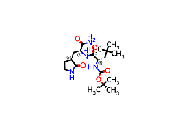 CC(C)(C)C[C@H](NC(=O)OC(C)(C)C)C(=O)N[C@@H](C[C@@H]1CCNC1=O)C(N)=O